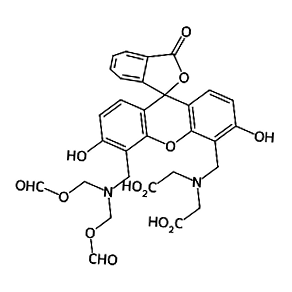 O=COCN(COC=O)Cc1c(O)ccc2c1Oc1c(ccc(O)c1CN(CC(=O)O)CC(=O)O)C21OC(=O)c2ccccc21